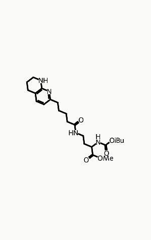 COC(=O)C(CCNC(=O)CCCCc1ccc2c(n1)NCCC2)NC(=O)OCC(C)C